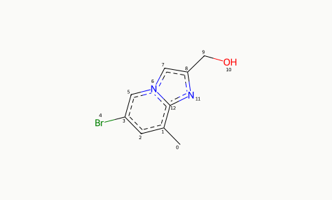 Cc1cc(Br)cn2cc(CO)nc12